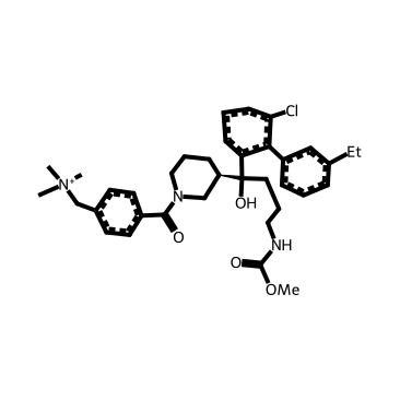 CCc1cccc(-c2c(Cl)cccc2C(O)(CCCNC(=O)OC)[C@@H]2CCCN(C(=O)c3ccc(C[N+](C)(C)C)cc3)C2)c1